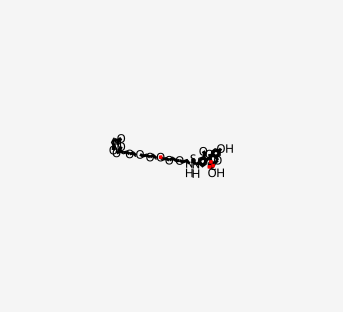 O=C(CCOCCOCCOCCOCCOCCOCCNC(=S)Nc1ccc2c(c1)C(=O)OC21c2ccc(O)cc2Oc2cc(O)ccc21)ON1C(=O)CCC1=O